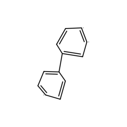 [c]1[c]cc(-c2cc[c]cc2)cc1